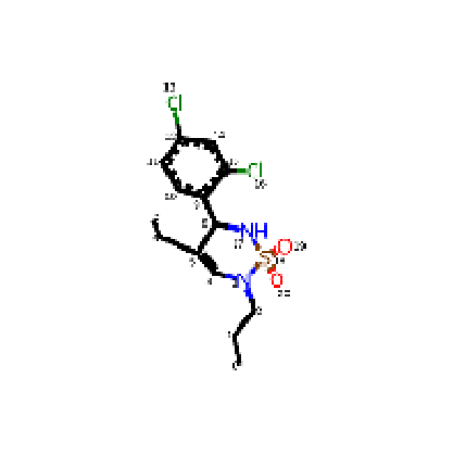 CCCN1C=C(CC)C(c2ccc(Cl)cc2Cl)NS1(=O)=O